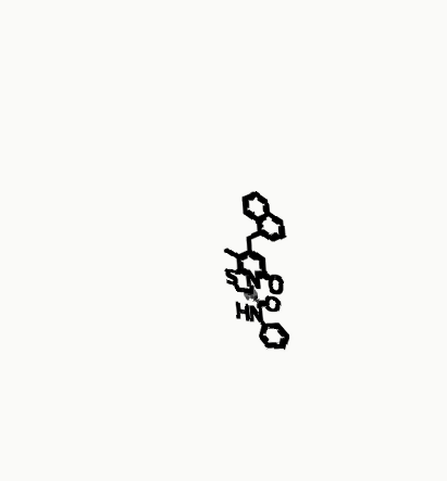 Cc1c(Cc2cccc3ccccc23)cc(=O)n2c1SC[C@H]2C(=O)Nc1ccccc1